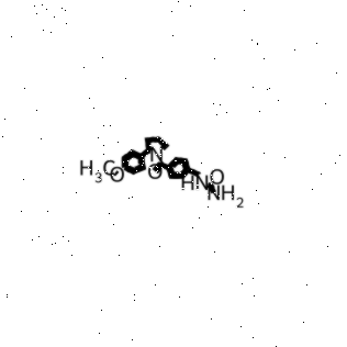 COc1ccc(C2CCCN2C(=O)c2ccc(CNC(N)=O)cc2)cc1